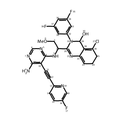 COCC(Nc1ncnc(N)c1C#Cc1ccc(F)cn1)C1=NC2=CCCC(Cl)=C2C(O)N1c1cc(F)cc(F)c1